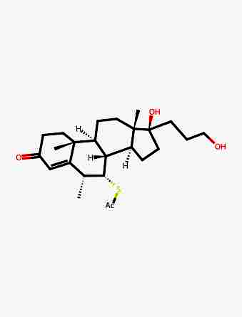 CC(=O)S[C@H]1[C@@H]2[C@H](CC[C@@]3(C)[C@H]2CC[C@@]3(O)CCCO)[C@@]2(C)CCC(=O)C=C2[C@H]1C